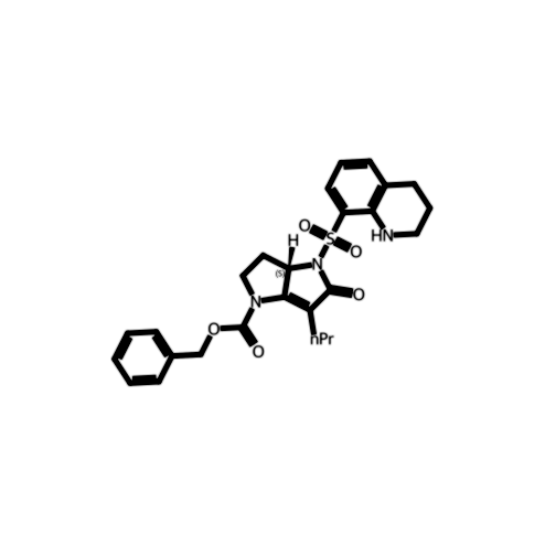 CCCC1=C2[C@H](CCN2C(=O)OCc2ccccc2)N(S(=O)(=O)c2cccc3c2NCCC3)C1=O